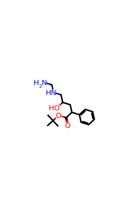 CC(C)(C)OC(=O)C(CC(O)CNCN)c1ccccc1